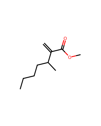 C=C(C(=O)OC)C(C)CCCC